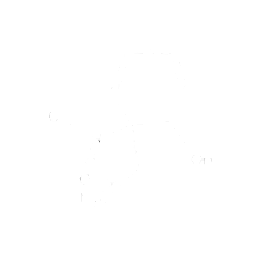 C=CC1([N+](=O)[O-])C=CC=CC1O